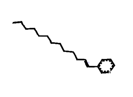 CCCCCCCCCCC/C=C/c1cccnc1